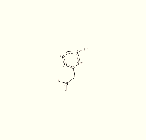 CN(C)Cc1cccc(I)c1